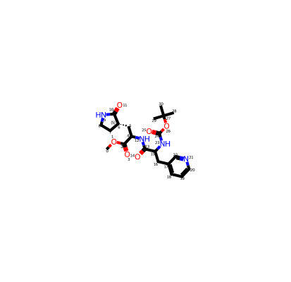 COC(=O)C(C[C@@H]1CCNC1=O)NC(=O)C(Cc1cccnc1)NC(=O)OC(C)(C)C